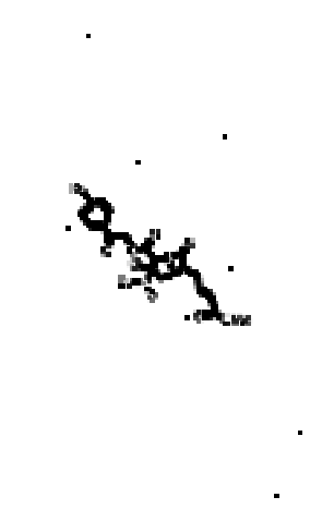 CC[S+]([O-])C1(Cl)CC2C(CC=CC(=O)OC)C(=O)N2C1C(=O)OCC(=O)c1ccc(Br)cc1